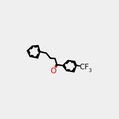 O=C(CCCc1ccccc1)c1ccc(C(F)(F)F)cc1